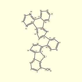 Cc1cccc2c1sc1c(-c3ccccc3-c3ccc4c(c3)c3ccccc3c3nccnc43)cccc12